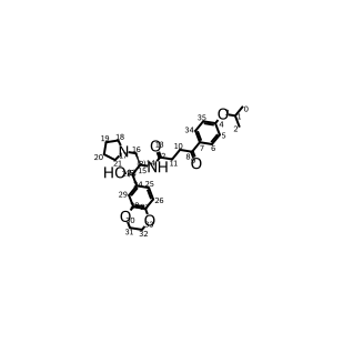 CC(C)Oc1ccc(C(=O)CCC(=O)N[C@H](CN2CCCC2)[C@@H](O)c2ccc3c(c2)OCCO3)cc1